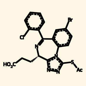 CC(=O)Sc1nnc2n1-c1ccc(Br)cc1C(c1ccccc1Cl)=N[C@H]2CCC(=O)O